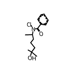 CC(CCCC(C)(C)O)N(Cl)C(=O)c1ccccc1